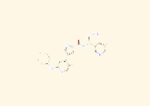 Cc1cnc(NC2CCOCC2)cc1-c1c[nH]c(C(=O)NC(CN)c2cncc(Cl)c2)c1